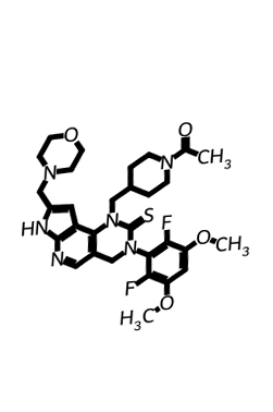 COc1cc(OC)c(F)c(N2Cc3cnc4[nH]c(CN5CCOCC5)cc4c3N(CC3CCN(C(C)=O)CC3)C2=S)c1F